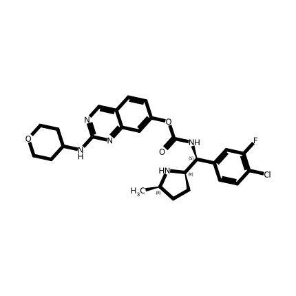 C[C@@H]1CC[C@H]([C@@H](NC(=O)Oc2ccc3cnc(NC4CCOCC4)nc3c2)c2ccc(Cl)c(F)c2)N1